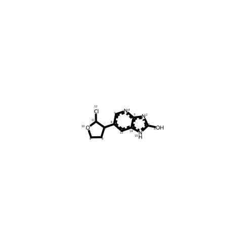 Oc1nc2ncc(C3CCOC3Cl)cc2[nH]1